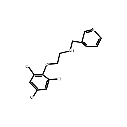 Clc1cc(Cl)c(OCCNCc2cccnc2)c(Cl)c1